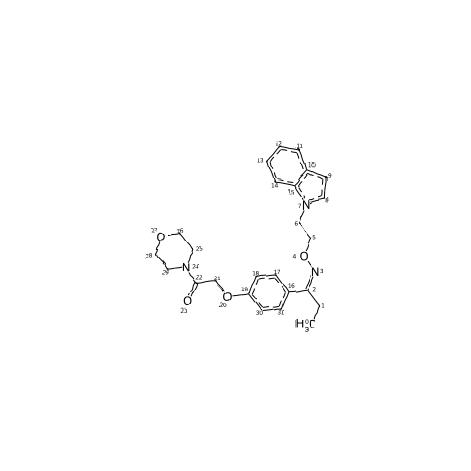 CCC(=NOCCn1ccc2ccccc21)c1ccc(OCC(=O)N2CCOCC2)cc1